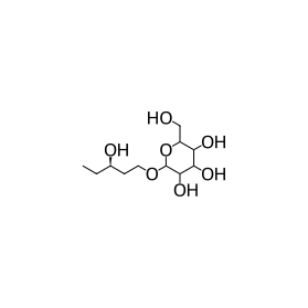 CC[C@@H](O)CCOC1OC(CO)C(O)C(O)C1O